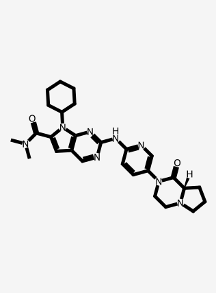 CN(C)C(=O)c1cc2cnc(Nc3ccc(N4CCN5CCC[C@H]5C4=O)cn3)nc2n1C1CCCCC1